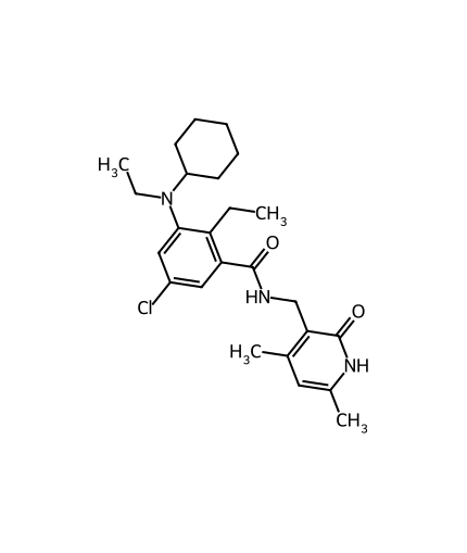 CCc1c(C(=O)NCc2c(C)cc(C)[nH]c2=O)cc(Cl)cc1N(CC)C1CCCCC1